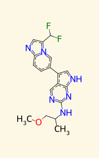 COCC(C)Nc1ncc2c(-c3ccc4ncc(C(F)F)n4c3)c[nH]c2n1